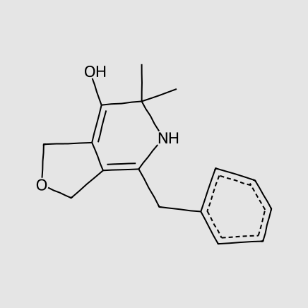 CC1(C)NC(Cc2ccccc2)=C2COCC2=C1O